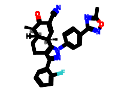 Cc1nc(-c2ccc(-n3nc(-c4ccccc4F)c4c3[C@]3(C)C=C(C#N)C(=O)[C@H](C)[C@H]3CC4)cc2)no1